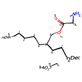 CCCCCCCCCCCCCCC(CCCCCCCCCCCC)COC(=O)CN.CS(=O)(=O)O